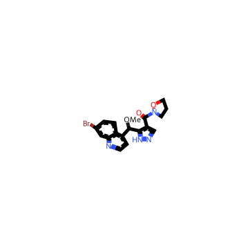 COC(c1[nH]ncc1C(=O)N1CCCO1)c1ccnc2cc(Br)ccc12